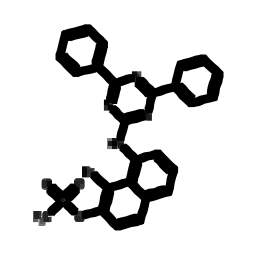 O=S(=O)(Oc1ccc2cccc(Nc3nc(-c4ccccc4)nc(-c4ccccc4)n3)c2c1Br)C(F)(F)F